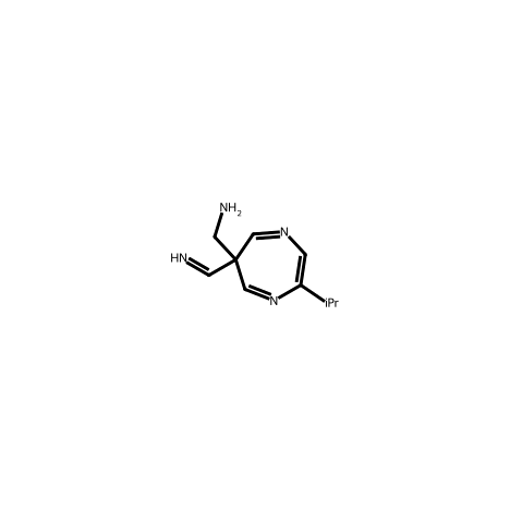 CC(C)C1=CN=CC(C=N)(CN)C=N1